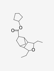 CCC1OC(CC)C2C3CC(CC3C(=O)OC3CCCC3)C12